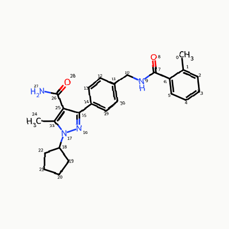 Cc1ccccc1C(=O)NCc1ccc(-c2nn(C3CCCC3)c(C)c2C(N)=O)cc1